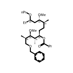 CCCO[C@H](CC)C[C@H](OC)[C@@H](C)CC[C@@H](OC(=O)C(C)C)[C@H](C)[C@H](OC)[C@H](C)COCc1ccccc1